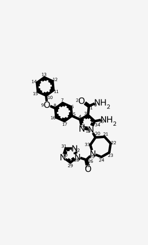 NC(=O)c1c(-c2ccc(Oc3ccccc3)cc2)nn(C2CCCCN(C(=O)n3cncn3)C2)c1N